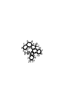 CC1(C)c2ccc3ccccc3c2-c2c1c1ccccc1c1c2[nH]c2ccccc21